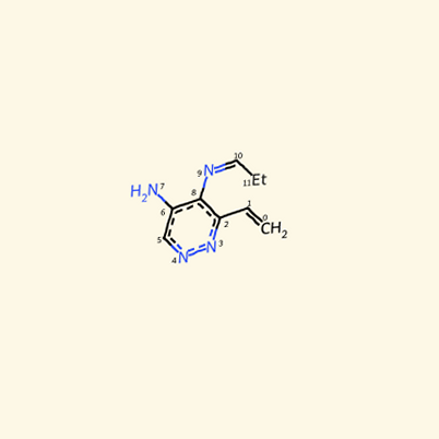 C=Cc1nncc(N)c1/N=C\CC